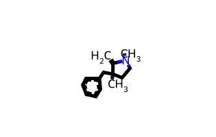 C=C1N(C)CCC1(C)Cc1ccccc1